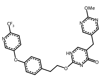 COc1ncc(Cc2c[nH]c(OCCc3ccc(Oc4ccc(C(F)(F)F)nc4)cc3)nc2=O)cn1